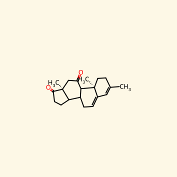 CC1=CC2=CCC3C(C(=O)C[C@]4(C)C(=O)CCC34)[C@@]2(C)CC1